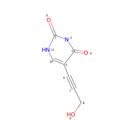 O=C1[N]C(=O)C(C#CCO)=CN1